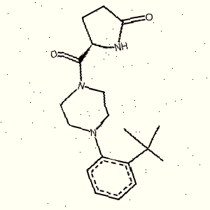 CC(C)(C)c1ccccc1N1CCN(C(=O)[C@H]2CCC(=O)N2)CC1